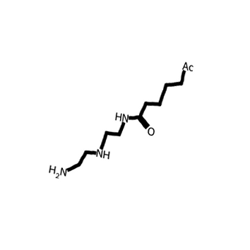 CC(=O)CCCCC(=O)NCCNCCN